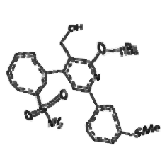 CCCCOc1nc(-c2cccc(SC)c2)cc(-c2ccccc2S(N)(=O)=O)c1CO